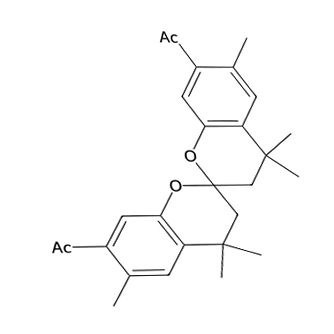 CC(=O)c1cc2c(cc1C)C(C)(C)CC1(CC(C)(C)c3cc(C)c(C(C)=O)cc3O1)O2